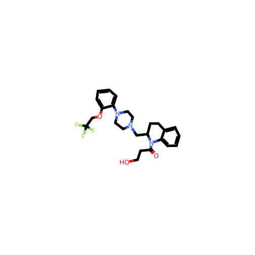 O=C(CCO)N1c2ccccc2CCC1CN1CCN(c2ccccc2OCC(F)(F)F)CC1